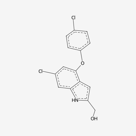 OCc1cc2c(Oc3ccc(Cl)cc3)cc(Cl)cc2[nH]1